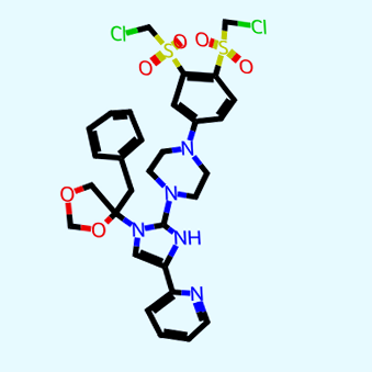 O=S(=O)(CCl)c1ccc(N2CCN(C3NC(c4ccccn4)=CN3C3(Cc4ccccc4)COCO3)CC2)cc1S(=O)(=O)CCl